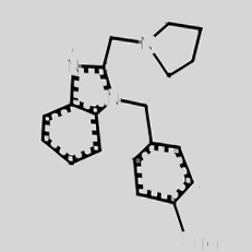 O=Cc1ccc(Cn2c(CN3CCCC3)nc3ccccc32)cc1